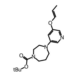 CC=COc1cncc(N2CCCN(C(=O)OC(C)(C)C)CC2)c1